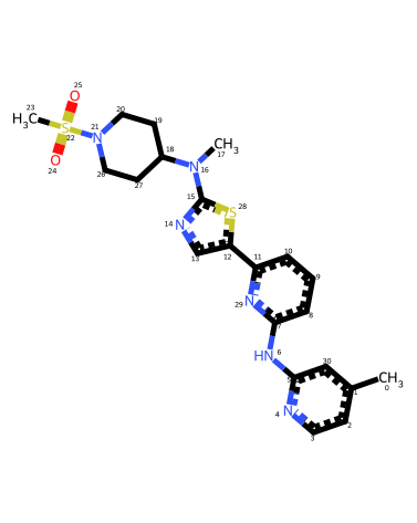 Cc1ccnc(Nc2cccc(-c3cnc(N(C)C4CCN(S(C)(=O)=O)CC4)s3)n2)c1